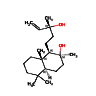 C=C[C@](C)(O)CC[C@@H]1[C@@]2(C)CCCC(C)(C)[C@@H]2CC[C@]1(C)O